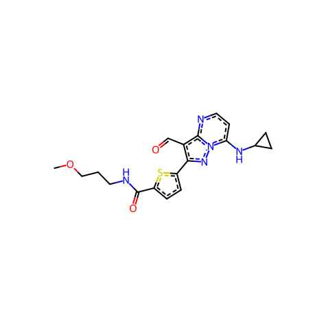 COCCCNC(=O)c1ccc(-c2nn3c(NC4CC4)ccnc3c2C=O)s1